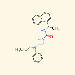 CCCN(c1ccccc1)C1CN(C(=O)NC(C)c2cccc3ccccc23)C1